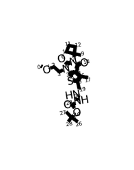 COCCn1c(=O)n(C2(C)CCC2)c(=O)c2c(C)c(CNNC(=O)OC(C)(C)C)sc21